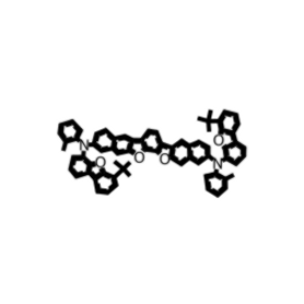 Cc1ccccc1N(c1ccc2cc3c(cc2c1)oc1c3ccc2c3cc4ccc(N(c5ccccc5C)c5cccc6c5oc5c(C(C)(C)C)cccc56)cc4cc3oc21)c1cccc2c1oc1c(C(C)(C)C)cccc12